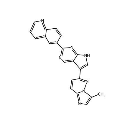 Cc1cnc2ccc(-c3c[nH]c4nc(-c5ccc6ncccc6c5)ncc34)nn12